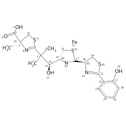 CC(C)(C1=N[C@@](C)(C(=O)O)CS1)[C@H](O)[C@@H]1CSC([C@H]2CSC(c3ccccc3O)=N2)[N-]1.[Fe]